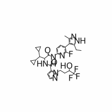 CCc1[nH]nc(C)c1-c1ccc(NC(=O)C(NC(=O)c2ccnn2CCC(O)C(F)(F)F)C(C2CC2)C2CC2)nc1F